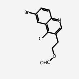 O=COCCc1cnc2ccc(Br)cc2c1Cl